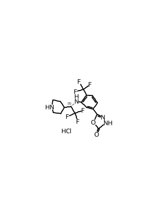 Cl.O=c1[nH]nc(-c2ccc(C(F)(F)F)c(N[C@@H](C3CCNCC3)C(F)(F)F)c2)o1